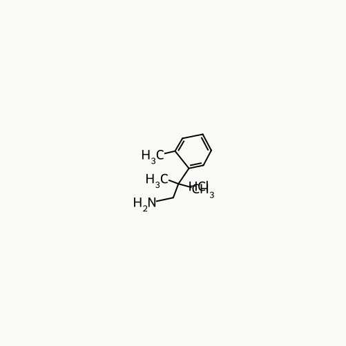 Cc1ccccc1C(C)(C)CN.Cl